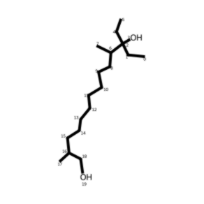 CCC(O)(CC)C(C)CCCCCCCCC(C)CO